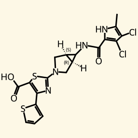 Cc1[nH]c(C(=O)NC2[C@H]3CN(c4nc(-c5cccs5)c(C(=O)O)s4)C[C@@H]23)c(Cl)c1Cl